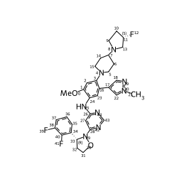 COc1cc(N2CCC(N3CC[C@H](F)C3)CC2)c(-c2cnn(C)c2)cc1Nc1cc(N2OCC[C@@H]2c2cccc(F)c2F)ncn1